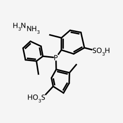 Cc1ccccc1P(c1cc(S(=O)(=O)O)ccc1C)c1cc(S(=O)(=O)O)ccc1C.N.N